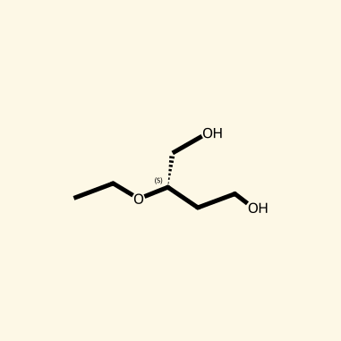 CCO[C@H](CO)CCO